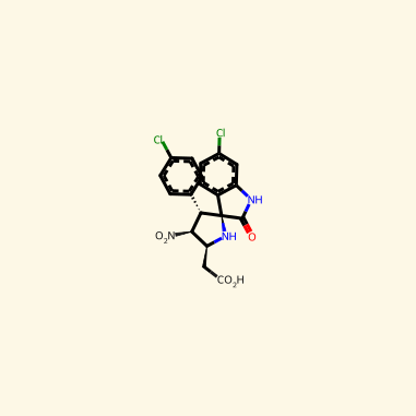 O=C(O)C[C@@H]1N[C@@]2(C(=O)Nc3cc(Cl)ccc32)[C@@H](c2ccc(Cl)cc2)[C@@H]1[N+](=O)[O-]